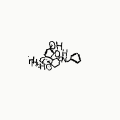 C=C1[C@]2(O)CC[C@H](NCc3ccccc3)[C@@H]3Oc4c(O)ccc(C)c4[C@@]132